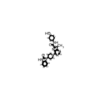 Cn1c(C(=O)NC2CCC(O)CC2)nc2c(N3CCC(n4c(=O)[nH]c5ccccc54)CC3)ncnc21